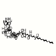 CCCCCCCCCCCC(=O)SCCNC(=O)CCNC(=O)[C@@H](O)C(C)(C)CO[P@@](=O)(O)O[P@](=O)(O)OC[C@@H]1O[C@@H](n2cnc3c(N)ncnc32)[C@H](O)[C@H]1OP(=O)(O)O